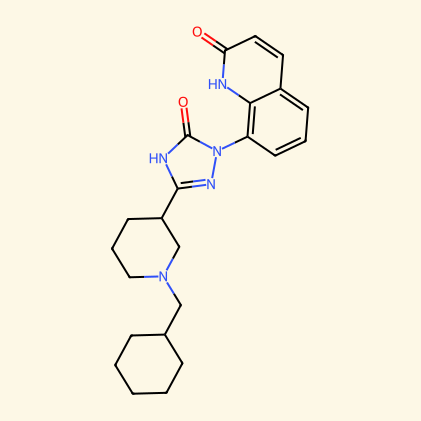 O=c1ccc2cccc(-n3nc(C4CCCN(CC5CCCCC5)C4)[nH]c3=O)c2[nH]1